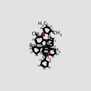 Cc1cc(C)c(N2CCN(c3c(C)cc(C)cc3C)C2=C2C(Cl)=C(Cl)C=CC2P(=C2C=C(c3ccccc3)c3ccccc32)(c2ccccc2)c2ccccc2)c(C)c1.[Ru+2]